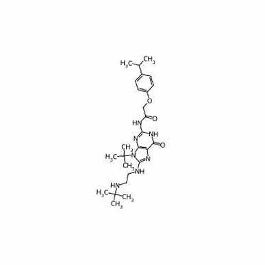 CC(C)c1ccc(OCC(=O)Nc2nc3c(nc(NCCNC(C)(C)C)n3C(C)(C)C)c(=O)[nH]2)cc1